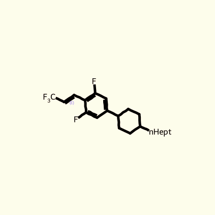 CCCCCCCC1CCC(c2cc(F)c(/C=C/C(F)(F)F)c(F)c2)CC1